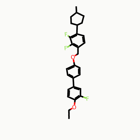 CCOc1ccc(-c2ccc(OCc3ccc(C4CCC(C)CC4)c(F)c3F)cc2)cc1F